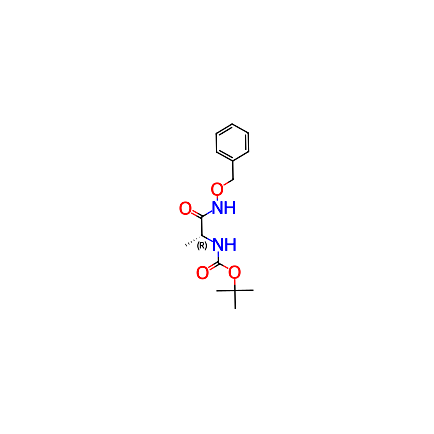 C[C@@H](NC(=O)OC(C)(C)C)C(=O)NOCc1ccccc1